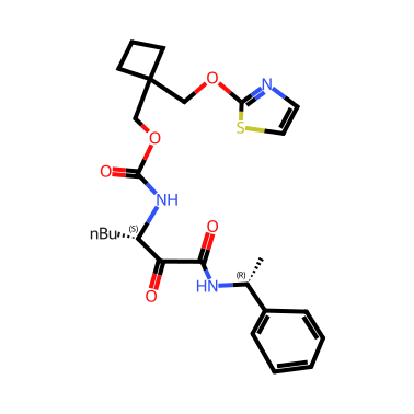 CCCC[C@H](NC(=O)OCC1(COc2nccs2)CCC1)C(=O)C(=O)N[C@H](C)c1ccccc1